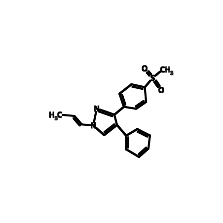 CC=Cn1cc(-c2ccccc2)c(-c2ccc(S(C)(=O)=O)cc2)n1